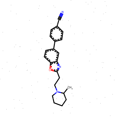 CC1CCCCN1CCc1nc2cc(-c3ccc(C#N)cc3)ccc2o1